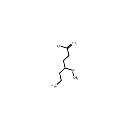 C=C(C)CCC(CCC)NC